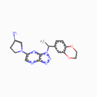 CC(c1ccc2c(c1)OCCO2)n1nnc2ncc(N3CC[C@@H](N)C3)nc21